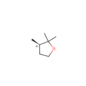 C[C@@H]1CCOC1(C)C